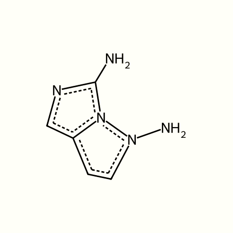 Nc1ncc2ccn(N)n12